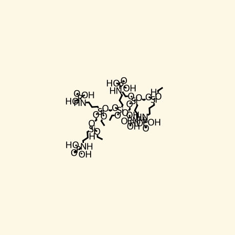 CCO[SiH](CCCNP(=O)(O)O)OCO[Si](CCCNP(=O)(O)O)(OCC)OCO[Si](CCCNP(=O)(O)O)(OCC)OCO[Si](CCCNP(=O)(O)O)(OCC)OCO[SiH](CCCNP(=O)(O)O)OCC